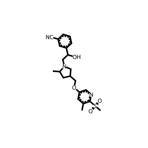 Cc1cc(OCC2CC(C)N(CC(O)c3cccc(C#N)c3)C2)cnc1S(C)(=O)=O